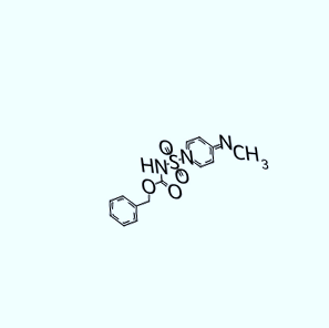 CN=c1ccn(S(=O)(=O)NC(=O)OCc2ccccc2)cc1